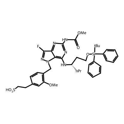 CCC[C@@H](CCO[Si](c1ccccc1)(c1ccccc1)C(C)(C)C)Nc1nc(NC(=O)OC)nc2c(F)nn(Cc3ccc(CCS(=O)(=O)O)cc3OC)c12